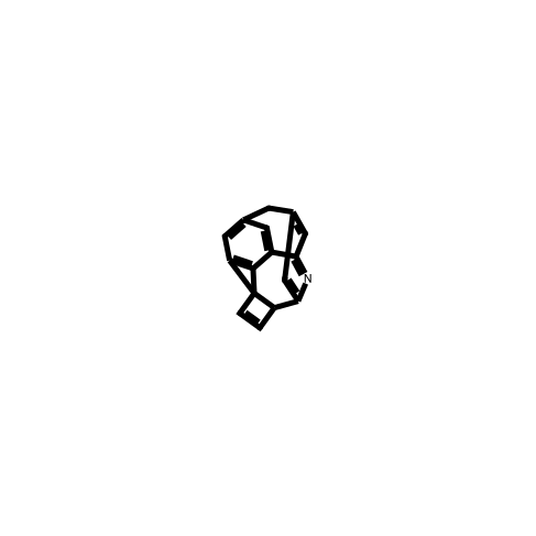 C1=CC23c4cc5cc(c42)-c2cc(cc(n2)C13)C5